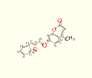 Cc1cc(=O)oc2cc(OCc3cc4ccccc4o3)ccc12